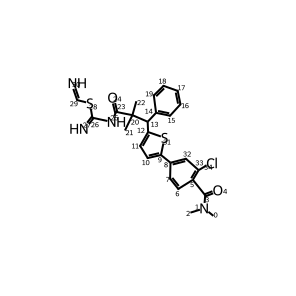 CN(C)C(=O)c1ccc(-c2ccc(C(c3ccccc3)C(C)(C)C(=O)NC(=N)SC=N)s2)cc1Cl